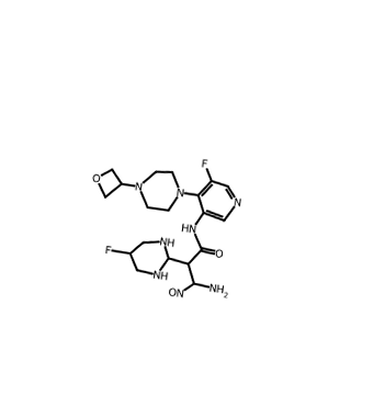 NC(N=O)C(C(=O)Nc1cncc(F)c1N1CCN(C2COC2)CC1)C1NCC(F)CN1